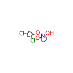 O=C(Oc1cccc(O)n1)c1ccc(Cl)cc1Cl